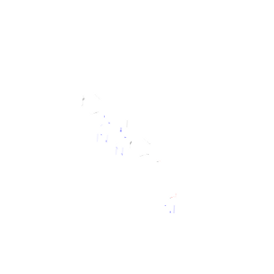 Cn1c(Nc2nc3ccc(Cl)cc3s2)nc2cc(C(=O)OCCC(N)=O)ccc21